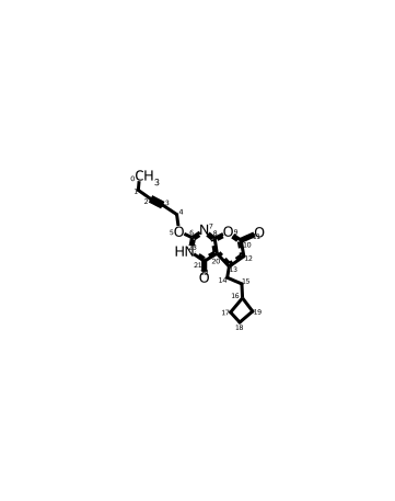 CCC#CCOc1nc2oc(=O)cc(CCC3CCC3)c2c(=O)[nH]1